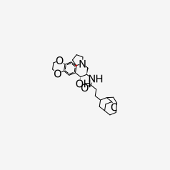 O=C(CCC1CC2CC3CCC1C(C3)C2)N[C@H](CN1CCCC1)[C@H](O)c1ccc2c(c1)OCCO2